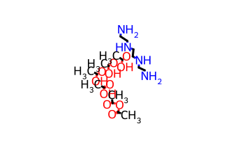 CC(=O)O.CC(=O)O.CC(=O)O.CC(=O)O.CC(=O)OC(C)=O.NCCNCCNCCN